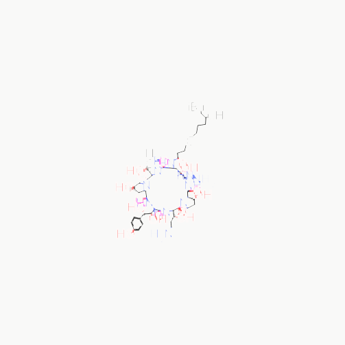 CCC(C)CC(C)CCCCCCCCC(=O)NC1C[C@@H](O)[C@@H](NN)NC(=O)C2[C@@H](O)CCN2C(=O)C([C@H](O)CCN)NC(=O)C([C@H](O)[C@@H](O)c2ccc(O)cc2)NC(=O)C2C[C@@H](O)CN2C(=O)C([C@@H](C)O)NC1=O